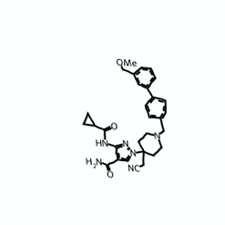 COCc1cccc(-c2ccc(CN3CCC(CC#N)(n4cc(C(N)=O)c(NC(=O)C5CC5)n4)CC3)cc2)c1